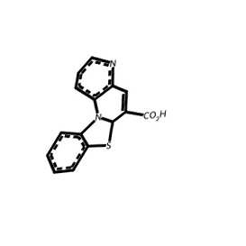 O=C(O)C1=Cc2ncccc2N2c3ccccc3SC12